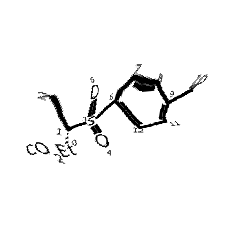 CCOC(=O)[C@H](C)S(=O)(=O)c1ccc(C)cc1